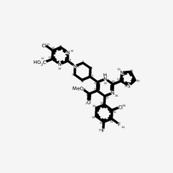 COC(=O)C1=C(C2CCN(c3ncc(Cl)c(C(=O)O)n3)CC2)NC(c2nccs2)=NC1c1ccc(F)c(F)c1Cl